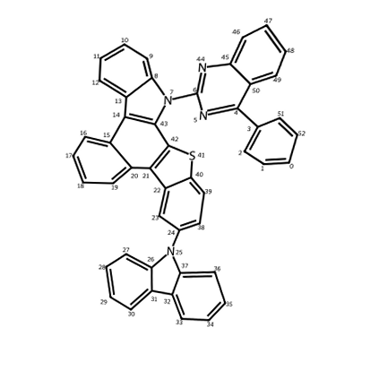 c1ccc(-c2nc(-n3c4ccccc4c4c5ccccc5c5c6cc(-n7c8ccccc8c8ccccc87)ccc6sc5c43)nc3ccccc23)cc1